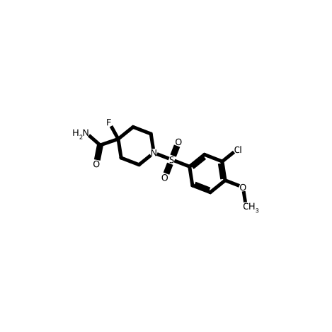 COc1ccc(S(=O)(=O)N2CCC(F)(C(N)=O)CC2)cc1Cl